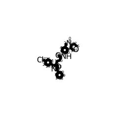 CN(Cc1ccc(NC(=O)CCc2oc(-c3ccccc3)nc2-c2ccc(Cl)cc2)cc1)C1CCOCC1